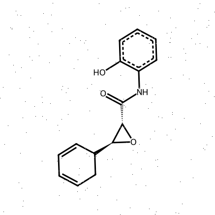 O=C(Nc1ccccc1O)[C@@H]1O[C@H]1C1C=CC=CC1